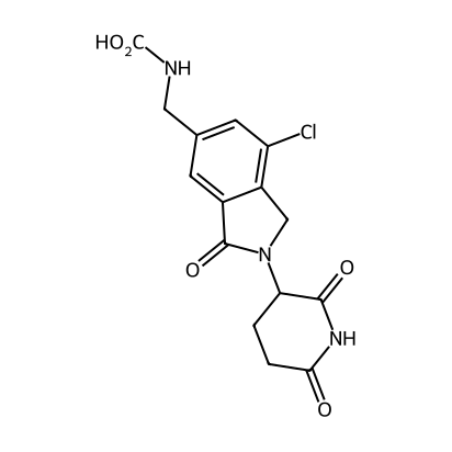 O=C(O)NCc1cc(Cl)c2c(c1)C(=O)N(C1CCC(=O)NC1=O)C2